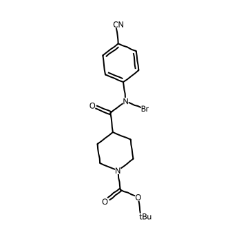 CC(C)(C)OC(=O)N1CCC(C(=O)N(Br)c2ccc(C#N)cc2)CC1